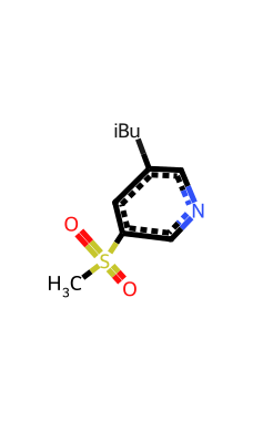 CCC(C)c1cncc(S(C)(=O)=O)c1